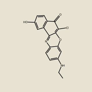 CCNc1ccc2nc3c4cc(O)ccc4c(=O)c(Cl)c-3oc2c1